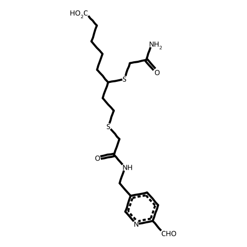 NC(=O)CSC(CCCCC(=O)O)CCSCC(=O)NCc1ccc(C=O)nc1